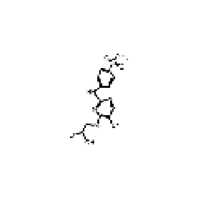 CCC(O)CNc1nc(Nc2ccc(S(N)(=O)=O)cc2)ncc1Br